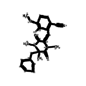 COc1ccc(C#N)c(C=C2C(=O)N(C)C(C)(Cc3ccccc3)C(=O)N2C)c1F